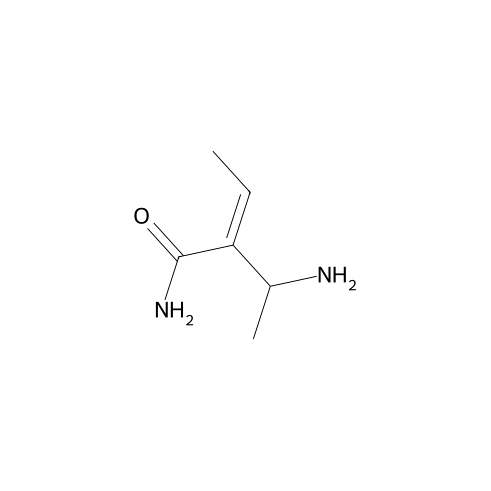 CC=C(C(N)=O)C(C)N